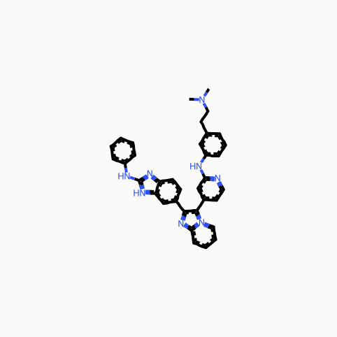 CN(C)CCc1cccc(Nc2cc(-c3c(-c4ccc5nc(Nc6ccccc6)[nH]c5c4)nc4ccccn34)ccn2)c1